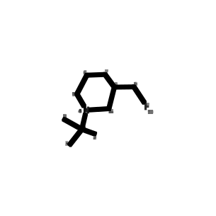 CC(C)(C)N1CCCC(CF)C1